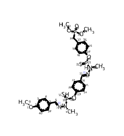 COc1ccc(/C=N/N(C)[PH](=S)Oc2ccc(/C=N/N(C)[PH](=S)Oc3ccc(CP(=O)(OC)OC)cc3)cc2)cc1